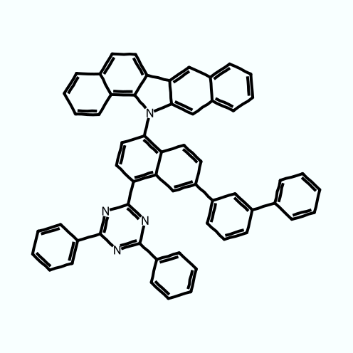 c1ccc(-c2cccc(-c3ccc4c(-n5c6cc7ccccc7cc6c6ccc7ccccc7c65)ccc(-c5nc(-c6ccccc6)nc(-c6ccccc6)n5)c4c3)c2)cc1